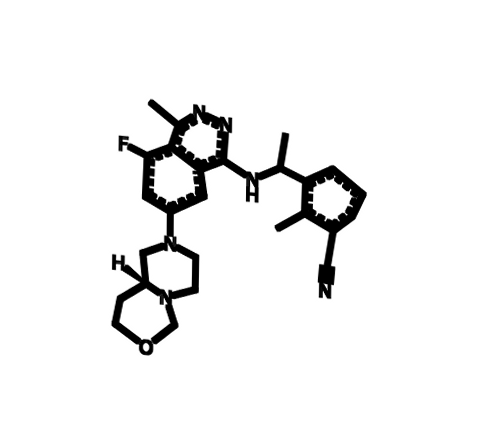 Cc1c(C#N)cccc1C(C)Nc1nnc(C)c2c(F)cc(N3CCN4COCC[C@@H]4C3)cc12